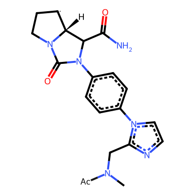 CC(=O)N(C)Cc1nccn1-c1ccc(N2C(=O)N3CC[CH][C@@H]3C2C(N)=O)cc1